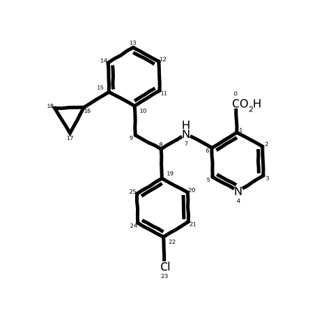 O=C(O)c1ccncc1NC(Cc1ccccc1C1CC1)c1ccc(Cl)cc1